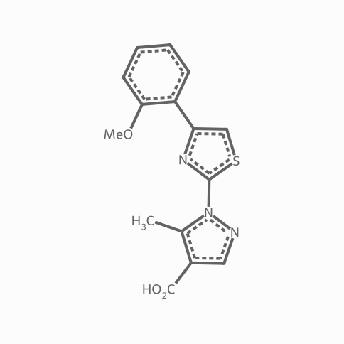 COc1ccccc1-c1csc(-n2ncc(C(=O)O)c2C)n1